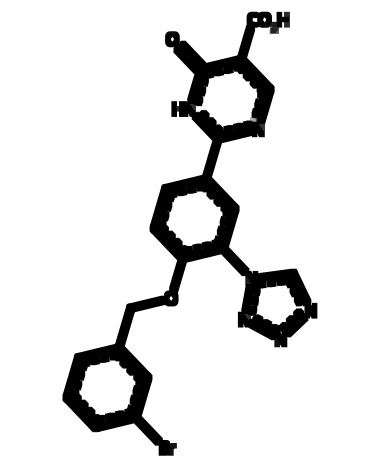 O=C(O)c1cnc(-c2ccc(OCc3cccc(Br)c3)c(-n3cnnn3)c2)[nH]c1=O